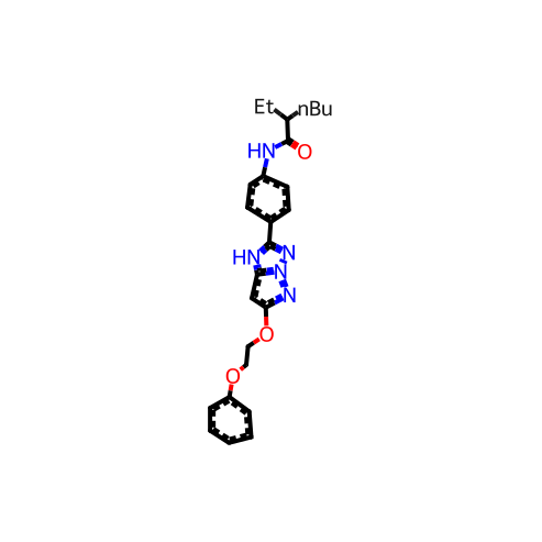 CCCCC(CC)C(=O)Nc1ccc(-c2nn3nc(OCCOc4ccccc4)cc3[nH]2)cc1